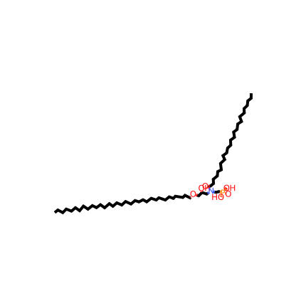 CCCCCCCCCCCCCCCCCCCCCCCCCCCCCCCCCOCC(O)CN(CCP(=O)(O)O)C(=O)CCCCCCCCCCCCCCCCCCCCCCCC